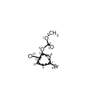 COC(=O)Oc1nc(Br)ccc1Cl